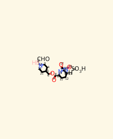 O=CBN1CCC(COC(=O)[C@@H]2CC[C@@H]3CN2C(=O)N3OS(=O)(=O)O)CC1